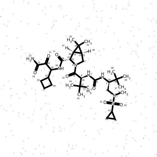 CN(C[C@@H](NC(=O)N[C@H](C(=O)N1C[C@H]2[C@@H]([C@H]1C(=O)NC(C(=O)C(N)=O)C1CCC1)C2(C)C)C(C)(C)C)C(C)(C)C)S(=O)(=O)C1CC1